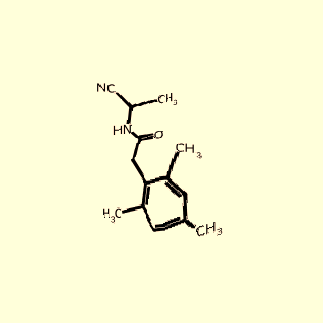 Cc1cc(C)c(CC(=O)NC(C)C#N)c(C)c1